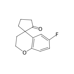 O=C1CCCC12CCOc1ccc(F)cc12